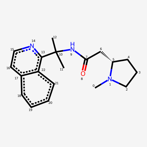 CN1CCC[C@H]1CC(=O)NC(C)(C)c1nccc2ccccc12